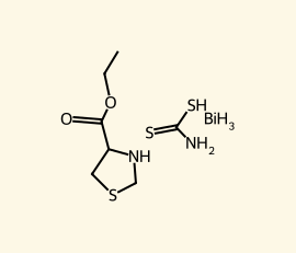 CCOC(=O)C1CSCN1.NC(=S)S.[BiH3]